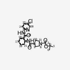 CC(C)(C)OC(=O)N1CCC(C(=O)Nc2ccccc2C(=O)Nc2ccc(Cl)cn2)CC1